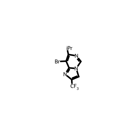 CC(C)c1ncn2cc(C(F)(F)F)nc2c1Br